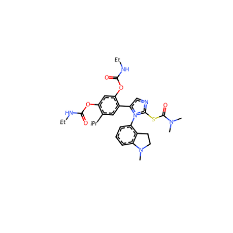 CCNC(=O)Oc1cc(OC(=O)NCC)c(C(C)C)cc1-c1cnc(SC(=O)N(C)C)n1-c1cccc2c1CCN2C